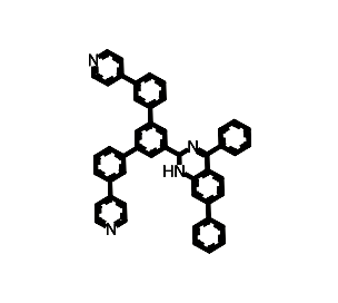 c1ccc(C2=NC(c3cc(-c4cccc(-c5ccncc5)c4)cc(-c4cccc(-c5ccncc5)c4)c3)Nc3cc(-c4ccccc4)ccc32)cc1